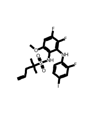 C=CCC(C)(C)S(=O)(=O)Nc1c(OC)cc(F)c(F)c1Nc1ccc(I)cc1F